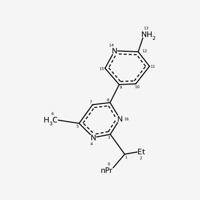 CCCC(CC)c1nc(C)cc(-c2ccc(N)nc2)n1